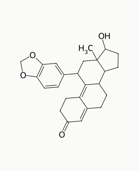 CC12CC(c3ccc4c(c3)OCO4)C3=C4CCC(=O)C=C4CCC3C1CCC2O